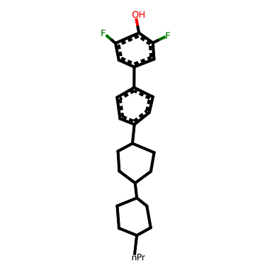 CCCC1CCC(C2CCC(c3ccc(-c4cc(F)c(O)c(F)c4)cc3)CC2)CC1